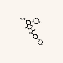 COc1cc(N2CCCN(C)CC2)c2oc(C(=O)Nc3ccc(N4CCOCC4)cc3)cc(=O)c2c1